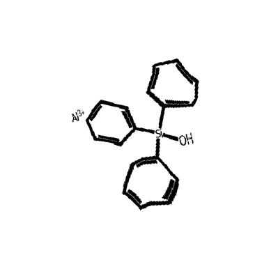 O[Si](c1ccccc1)(c1ccccc1)c1ccccc1.[Al+3]